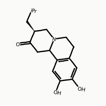 CC(C)C[C@H]1CN2CCc3cc(O)c(O)cc3C2CC1=O